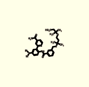 CCN(CC)c1ccc(NC(=O)c2cccc(CSC(C)(C)CCOC(C)(C)CC(=O)O)c2)c(-c2cc(C(N)=O)ccn2)c1